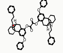 O=C(Oc1cc(Oc2ccccc2)cc2c1C[C@@H]1[C@@H]3CCCC[C@]23CCN1CCc1ccccc1)C(=O)Oc1cc(Oc2ccccc2)cc2c1C[C@@H]1[C@@H]3CCCC[C@]23CCN1CCc1ccccc1